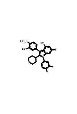 O=C(O)c1ccc(-c2c(C3CCOCC3)n(-c3ccc(F)c(F)c3)c3cc(F)cc(O)c23)cc1O